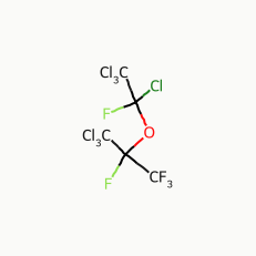 FC(F)(F)C(F)(OC(F)(Cl)C(Cl)(Cl)Cl)C(Cl)(Cl)Cl